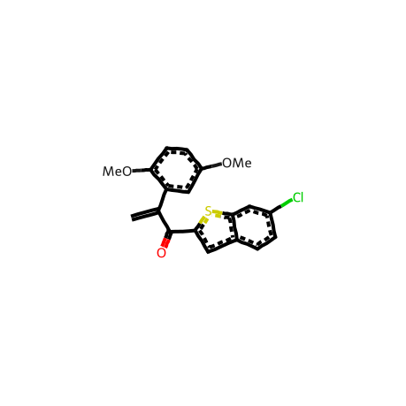 C=C(C(=O)c1cc2ccc(Cl)cc2s1)c1cc(OC)ccc1OC